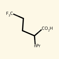 CCCC(CCC(F)(F)F)C(=O)O